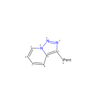 CCCC(C)c1nnn2ccccc12